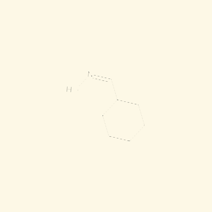 O/N=C\C1CCCCC1